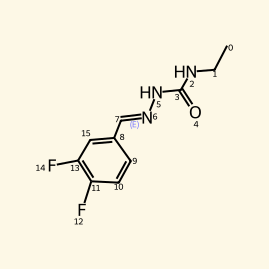 CCNC(=O)N/N=C/c1ccc(F)c(F)c1